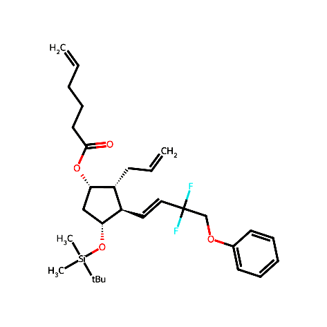 C=CCCCC(=O)O[C@H]1C[C@@H](O[Si](C)(C)C(C)(C)C)[C@H](/C=C/C(F)(F)COc2ccccc2)[C@H]1CC=C